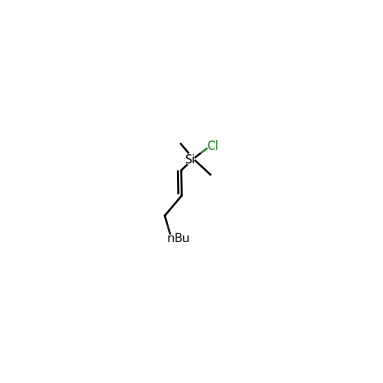 CCCCCC=C[Si](C)(C)Cl